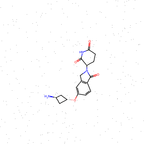 N[C@H]1C[C@H](Oc2ccc3c(c2)CN(C2CCC(=O)NC2=O)C3=O)C1